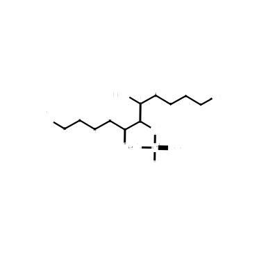 CCCCCC(C)C(OP(=O)(O)O)C(C)CCCCC